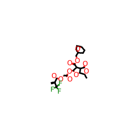 C=C(C(=O)OCC(=O)OC1OC2C(C)OC(=O)C2C1C(=O)OCC12CCC(CC1)O2)C(F)(F)F